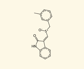 Cc1cccc(C[S+]([O-])C=C2C(=O)Nc3ccccc32)c1